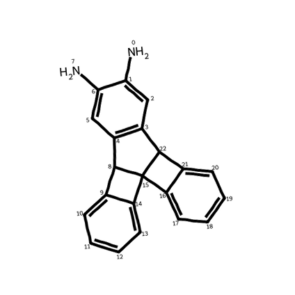 Nc1cc2c(cc1N)C1c3ccccc3C13c1ccccc1C23